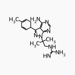 CC1=CCC(c2nn(C(C)(C)CNC(=N)N)c3ncnc(N)c23)C=C1